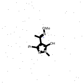 CO/N=C(\C)c1c(C(C)C)nn(C)c1O